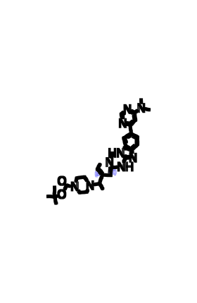 C=N/C(=C\C(=C/C)C(C)N1CCN(C(=O)OC(C)(C)C)CC1)Nc1nc2ccc(-c3cc(N(C)C)ncn3)cc2[nH]1